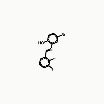 Oc1ccc(Br)cc1N=Cc1cccc(F)c1F